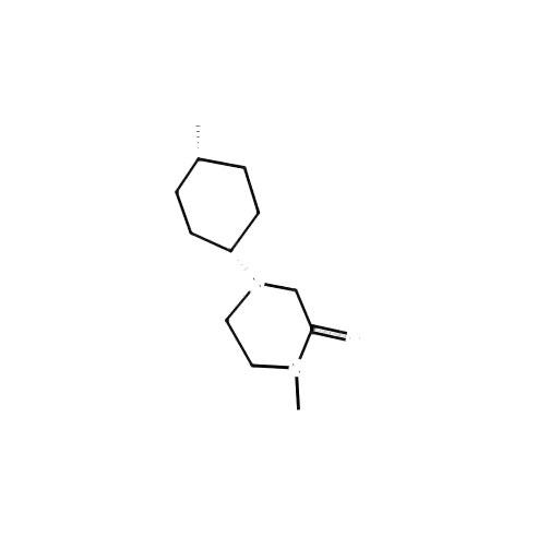 CN1CCN([C@H]2CC[C@@H](C)CC2)CC1=O